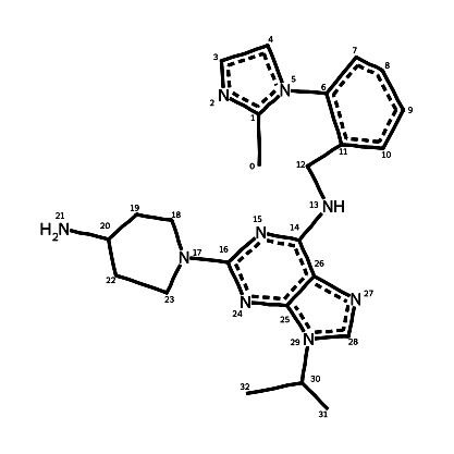 Cc1nccn1-c1ccccc1CNc1nc(N2CCC(N)CC2)nc2c1ncn2C(C)C